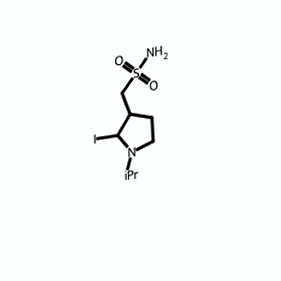 CC(C)N1CCC(CS(N)(=O)=O)C1I